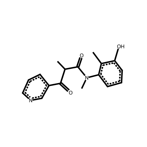 Cc1c(O)cccc1N(C)C(=O)C(C)C(=O)c1cccnc1